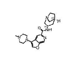 CN1CCN(c2coc3cnc(C(=O)N[C@@H]4C[C@@H]5CCN(C5)C4)cc23)CC1